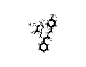 CC(C)N(C)[C@@H](C)C(=O)NC[C@H](C(=O)NCc1ccc(N)nc1)C1CCCCC1